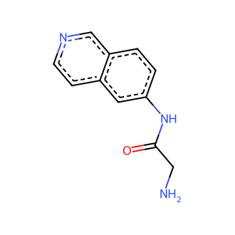 NCC(=O)Nc1ccc2cnccc2c1